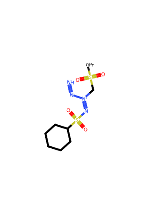 CCCS(=O)(=O)C[N+](N=N)=NS(=O)(=O)C1CCCCC1